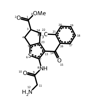 COC(=O)C1Cc2sc(NC(=O)CN)c(C(=O)c3ccccc3C)c2C1